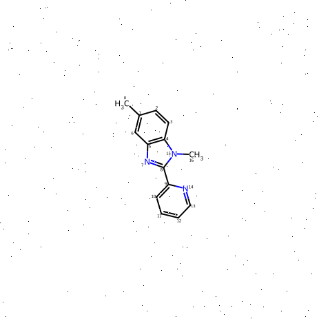 Cc1ccc2c(c1)nc(-c1ccccn1)n2C